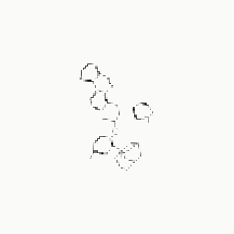 C1=CCOC=C1.Cc1ccc(OC2CCc3c(ccc4c3ccc3ccccc34)C2)c(C23CC4CC(CC(C4)C2)C3)c1